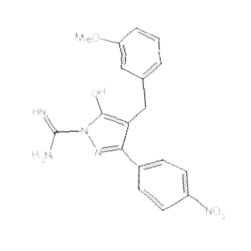 COc1cccc(Cc2c(-c3ccc([N+](=O)[O-])cc3)nn(C(=N)N)c2O)c1